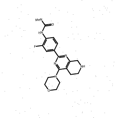 CNC(=O)Nc1ccc(-c2nc3c(c(N4CCOCC4)n2)CCNC3)cc1F